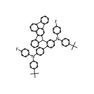 CC(C)(C)c1ccc(N(c2ccc(F)cc2)c2ccc(-c3ccc(N(c4ccc(F)cc4)c4ccc(C(C)(C)C)cc4)cc3C3c4ccccc4-c4c3cc3c5c(cccc45)-c4ccccc4-3)cc2)cc1